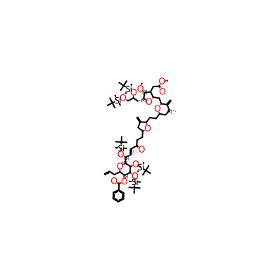 C=CCC1O[C@@H]([C@H](/C=C/C(=O)CCC2CC(=C)C(CCC3C[C@@H](C)C(=C)C(CC4O[C@H](CC(CO[Si](C)(C)C(C)(C)C)O[Si](C)(C)C(C)(C)C)[C@H](OC)C4CC(=O)OC)O3)O2)O[Si](C)(C)C(C)(C)C)C(O[Si](C)(C)C(C)(C)C)C(O[Si](C)(C)C(C)(C)C)[C@H]1OC(=O)c1ccccc1